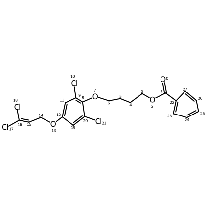 O=C(OCCCCOc1c(Cl)cc(OCC=C(Cl)Cl)cc1Cl)c1ccccc1